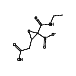 CCNC(=O)C1([N+](=O)[O-])OC1CC(=O)O